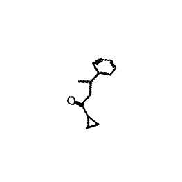 CC(CC(=O)C1CC1)c1ccccc1